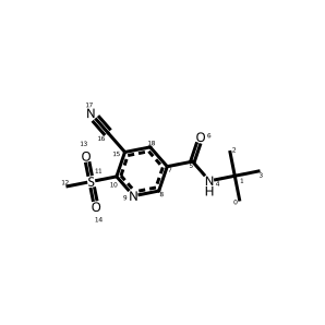 CC(C)(C)NC(=O)c1cnc(S(C)(=O)=O)c(C#N)c1